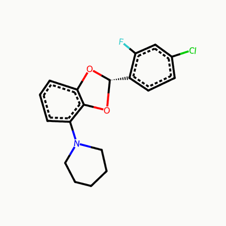 Fc1cc(Cl)ccc1[C@H]1Oc2cccc(N3CCCCC3)c2O1